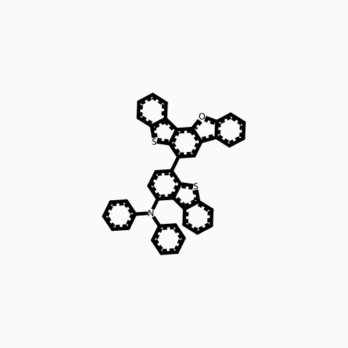 c1ccc(N(c2ccccc2)c2ccc(-c3cc4c5ccccc5oc4c4c3sc3ccccc34)c3sc4ccccc4c23)cc1